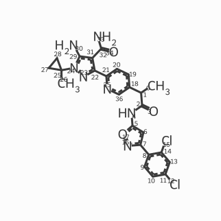 CC(C(=O)Nc1cc(-c2ccc(Cl)cc2Cl)no1)c1ccc(-c2nn(C3(C)CC3)c(N)c2C(N)=O)nc1